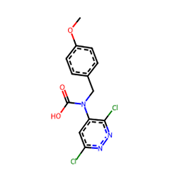 COc1ccc(CN(C(=O)O)c2cc(Cl)nnc2Cl)cc1